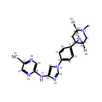 CN1C[C@@H]2CC[C@H]1CN2c1ccc(-n2cnc(Nc3cnc(C#N)cn3)c2)cc1